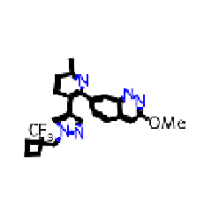 COc1cc2ccc(-c3nc(C)ccc3-c3cnn(CC4(C(F)(F)F)CCC4)c3)cc2nn1